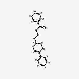 O=C(CCCN1CC=C(c2ccccc2)CC1)c1ccccc1